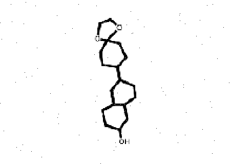 OC1CCC2CC(C3CCC4(CC3)OCCO4)CCC2C1